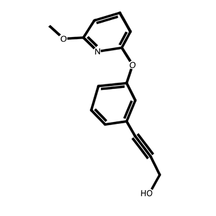 COc1cccc(Oc2cccc(C#CCO)c2)n1